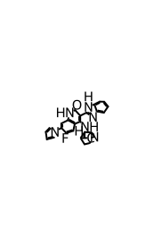 O=c1[nH]c2cc(-n3cccc3)c(F)cc2c(N[C@H]2CN3CCC2CC3)c1-c1nc2ccccc2[nH]1